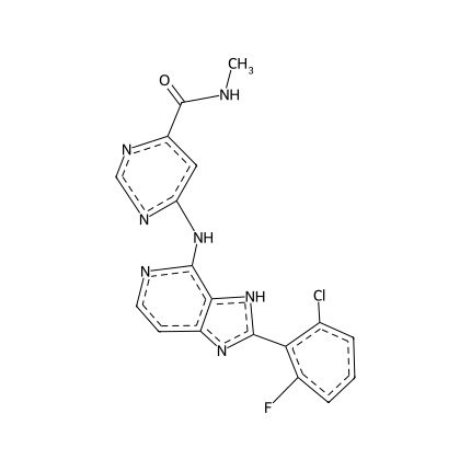 CNC(=O)c1cc(Nc2nccc3nc(-c4c(F)cccc4Cl)[nH]c23)ncn1